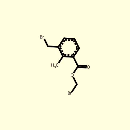 Cc1c(CBr)cccc1C(=O)OCBr